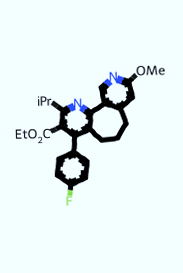 CCOC(=O)c1c(C(C)C)nc2c(c1-c1ccc(F)cc1)CCCc1cc(OC)ncc1-2